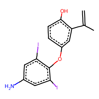 C=C(C)c1cc(Oc2c(I)cc(N)cc2I)ccc1O